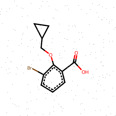 O=C(O)c1cccc(Br)c1OCC1CC1